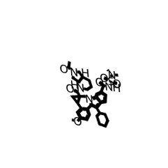 COc1ccc2c(c1)C1CC1(C(=O)N1CCC[C@H]3CN(C(C)=O)C[C@H]31)Cn1c-2c(C2CCCCC2)c2ccc(C(=O)NS(=O)(=O)N(C)C)cc21